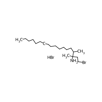 Br.CCCCCCCCCCCCCCC(C)C(C)(N)CCBr